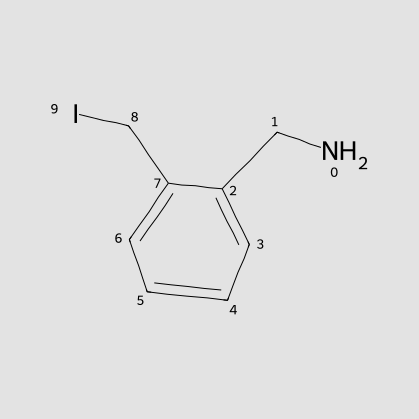 NCc1ccccc1CI